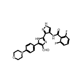 O=Cc1nc(-c2n[nH]cc2NC(=O)c2c(F)cccc2F)[nH]c1-c1ccc(N2CCOCC2)cc1